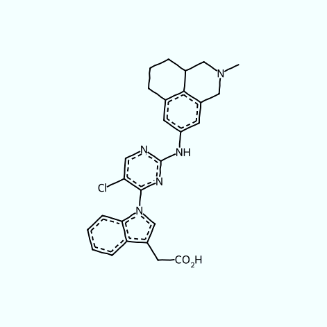 CN1Cc2cc(Nc3ncc(Cl)c(-n4cc(CC(=O)O)c5ccccc54)n3)cc3c2C(CCC3)C1